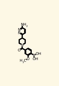 COc1cc(C(=O)N2CCC(c3ccc(N)nn3)CC2)ccc1B(O)O